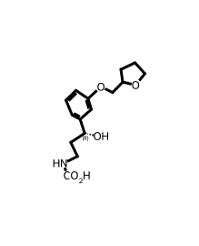 O=C(O)NCC[C@@H](O)c1cccc(OCC2CCCO2)c1